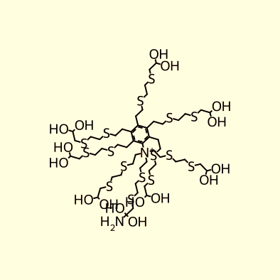 NC(O)(O)CSCCSCC[N+](CCSCCSCC(O)O)(CCSCCSCC(O)O)c1c(CCSCCSCC(O)O)c(CCSCCSCC(O)O)c(CCSCCSCC(O)O)c(CCSCCSCC(O)O)c1CCSCCSCC(O)O